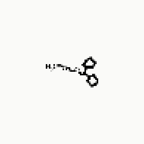 CCOCCOCC(c1ccccc1)c1ccccc1